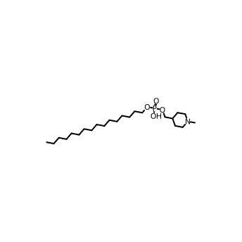 CCCCCCCCCCCCCCCCOP(=O)(O)OCC1CCN(C)CC1